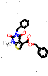 Cn1c(=O)n(Cc2ccccc2)c(=O)c2c(C(=O)OCc3ccccc3)csc21